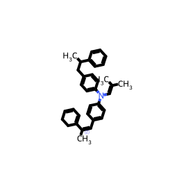 CC(C)=CN(c1ccc(/C=C(/C)C2=CC=CCC2)cc1)c1ccc(CC(C)c2ccccc2)cc1